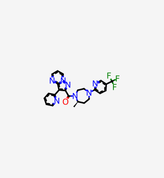 C[C@@H]1CCN(c2ccc(C(F)(F)F)cn2)CCN1C(=O)c1nn2cccnc2c1-c1ccccn1